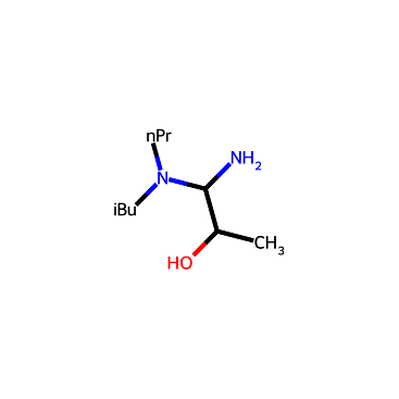 CCCN(C(C)CC)C(N)C(C)O